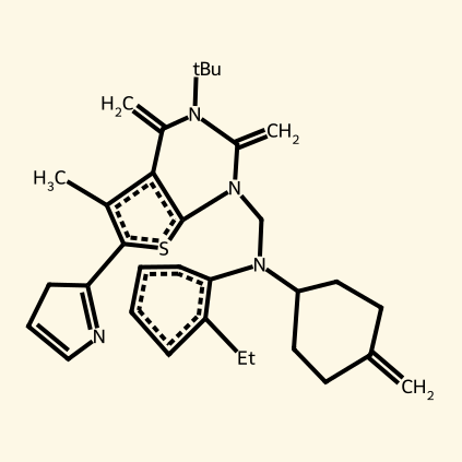 C=C1CCC(N(CN2C(=C)N(C(C)(C)C)C(=C)c3c2sc(C2=NC=CC2)c3C)c2ccccc2CC)CC1